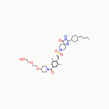 CCCCC1CCC(C2=NC3(CCN(S(=O)(=O)/C=C/c4c(C)cc(C(=O)N5CCC(OCCOCCO)CC5)cc4C)CC3)C(=O)N2)CC1